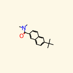 CN(C)C(=O)c1ccc2cc(C(C)(C)C)ccc2c1